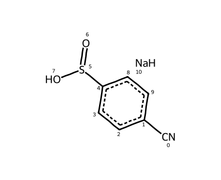 N#Cc1ccc(S(=O)O)cc1.[NaH]